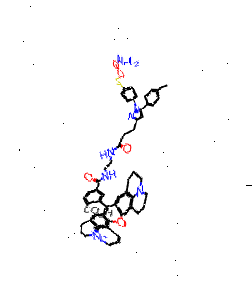 Cc1ccc(-c2cc(CCC(=O)NCCNC(=O)c3ccc(C(=O)O)c(C4=c5cc6c7c(c5Oc5c4cc4c8c5CCCN8CCC4)CCC[N+]=7CCC6)c3)nn2-c2ccc(SOON)cc2)cc1